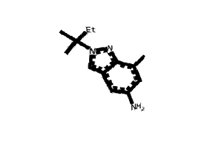 CCC(C)(C)n1cc2cc(N)cc(C)c2n1